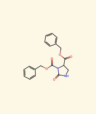 O=C(OCc1ccccc1)C1CNC(=O)N1C(=O)OCc1ccccc1